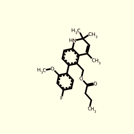 CCCC(=O)OCc1c(-c2ccc(F)cc2OC)ccc2c1C(C)=CC(C)(C)N2